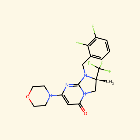 C[C@@]1(C(F)(F)F)Cn2c(nc(N3CCOCC3)cc2=O)N1Cc1cccc(F)c1F